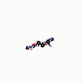 Cc1c(-c2nc3c(o2)CN(C(=O)CN2CCC2)C3)cccc1-c1cccc(-c2nc3cc(CN4CCCC4)cc(C#N)c3o2)c1C